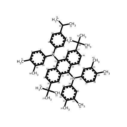 Cc1ccc(N(c2ccc(C(C)C)cc2)c2c3ccc(C(C)(C)C)cc3c(N(c3ccc(C)c(C)c3)c3ccc(C)c(C)c3)c3ccc(C(C)(C)C)cc23)cc1C